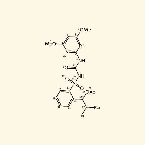 COc1cc(OC)nc(NC(=O)NS(=O)(=O)c2ccccc2C(OC(C)=O)C(C)F)n1